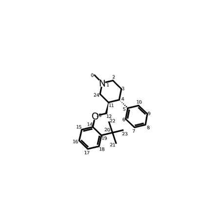 CN1CC[C@H](c2ccccc2)[C@@H](COc2ccccc2C(C)(C)C)C1